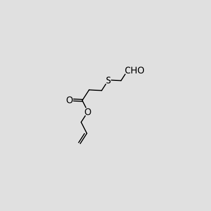 C=CCOC(=O)CCSCC=O